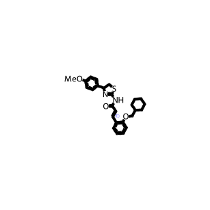 COc1ccc(C2CSC(NC(=O)/C=C/c3ccccc3OCC3CCCCC3)=N2)cc1